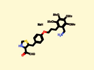 COc1c(CN)c(CCCOc2ccc(CC3SCNC3C(=O)C=O)cc2)c(OC)c(OC)c1OC.[NaH]